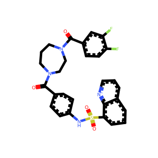 O=C(c1ccc(NS(=O)(=O)c2cccc3cccnc23)cc1)N1CCCN(C(=O)c2ccc(F)c(F)c2)CC1